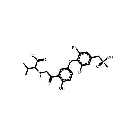 CC(C)C(NCC(=O)c1cc(Oc2c(Br)cc(CP(C)(=O)O)cc2Br)ccc1O)C(=O)O